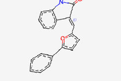 O=C1Nc2ccccc2/C1=C\c1ccc(-c2ccccc2)o1